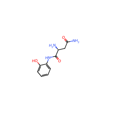 NC(=O)C[C@H](N)C(=O)Nc1ccccc1O